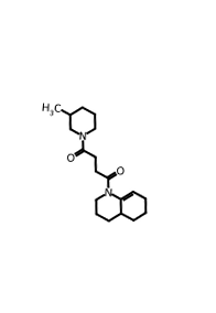 CC1CCCN(C(=O)CCC(=O)N2CCCC3CCCC=C32)C1